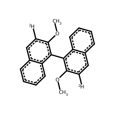 [2H]c1cc2ccccc2c(-c2c(OC)c([2H])cc3ccccc23)c1OC